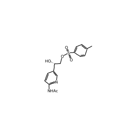 CC(=O)Nc1ccc([C@H](O)COS(=O)(=O)c2ccc(C)cc2)cn1